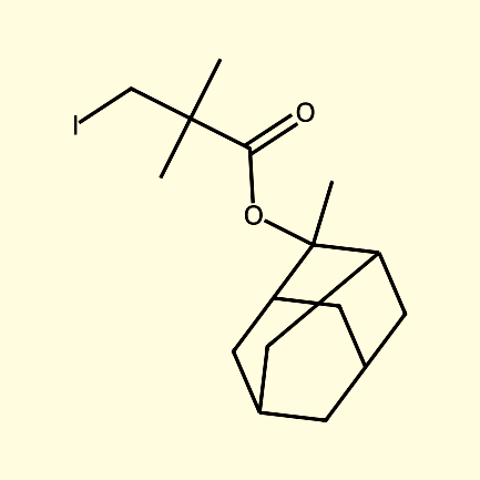 CC(C)(CI)C(=O)OC1(C)C2CC3CC(C2)CC1C3